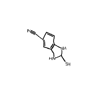 N#Cc1ccc2c(c1)NC(S)N2